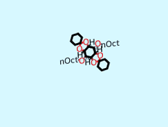 CCCCCCCCO[C@@H]1[C@H]2OC3(CCCCC3)O[C@H]2[C@@H](OCCCCCCCC)[C@@H]2OC3(CCCCC3)O[C@@H]12